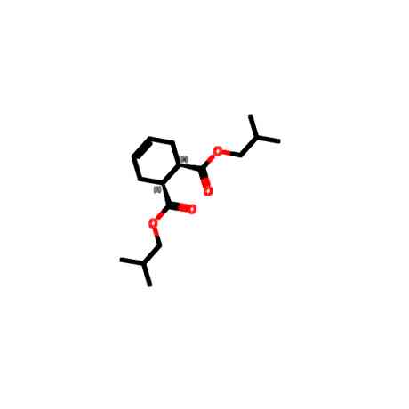 CC(C)COC(=O)[C@H]1CC=CC[C@H]1C(=O)OCC(C)C